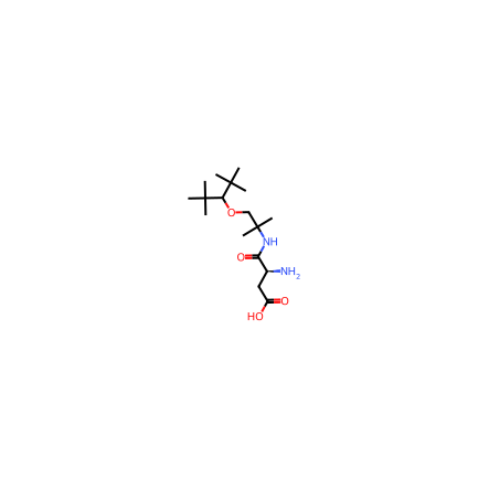 CC(C)(COC(C(C)(C)C)C(C)(C)C)NC(=O)[C@@H](N)CC(=O)O